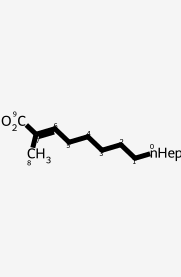 CCCCCCCCCCCCC=C(C)C(=O)O